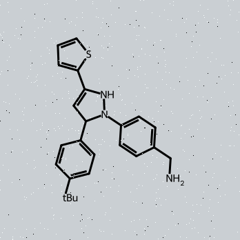 CC(C)(C)c1ccc(C2C=C(c3cccs3)NN2c2ccc(CN)cc2)cc1